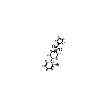 O=S(=O)(c1cccs1)N1CCC(C2C=CCC=C2Br)CC1